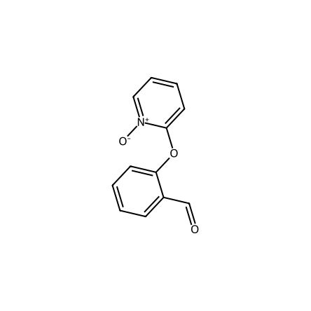 O=Cc1ccccc1Oc1cccc[n+]1[O-]